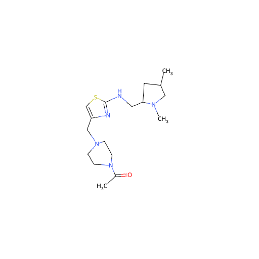 CC(=O)N1CCN(Cc2csc(NCC3CC(C)CN3C)n2)CC1